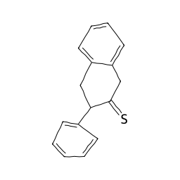 S=C1Cc2ccccc2CC1c1ccccc1